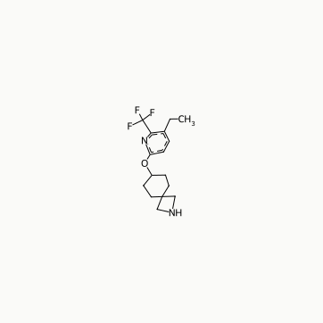 CCc1ccc(OC2CCC3(CC2)CNC3)nc1C(F)(F)F